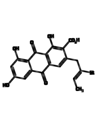 CC=C(CC)Cc1cc2c(c(O)c1C(=O)O)C(=O)c1c(O)cc(O)cc1C2=O